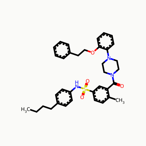 CCCCc1ccc(NS(=O)(=O)c2ccc(C)c(C(=O)N3CCN(c4ccccc4OCCc4ccccc4)CC3)c2)cc1